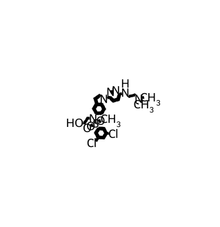 Cc1cc2c(ccn2-c2ccc(NCCN(C)C)nn2)cc1N(CC(=O)O)S(=O)(=O)c1cc(Cl)cc(Cl)c1